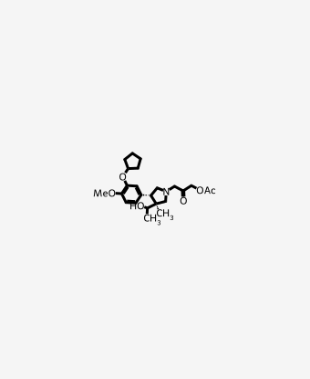 COc1ccc([C@@H]2CN(CC(=O)COC(C)=O)C[C@@]2(C)C(C)O)cc1OC1CCCC1